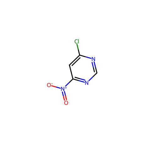 O=[N+]([O-])c1cc(Cl)ncn1